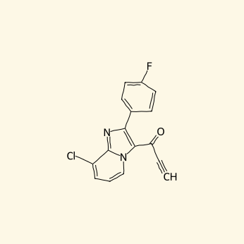 C#CC(=O)c1c(-c2ccc(F)cc2)nc2c(Cl)cccn12